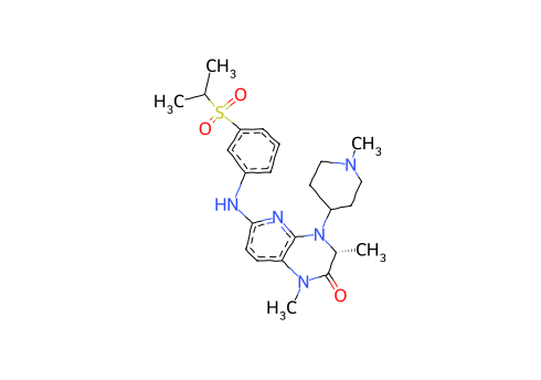 CC(C)S(=O)(=O)c1cccc(Nc2ccc3c(n2)N(C2CCN(C)CC2)[C@H](C)C(=O)N3C)c1